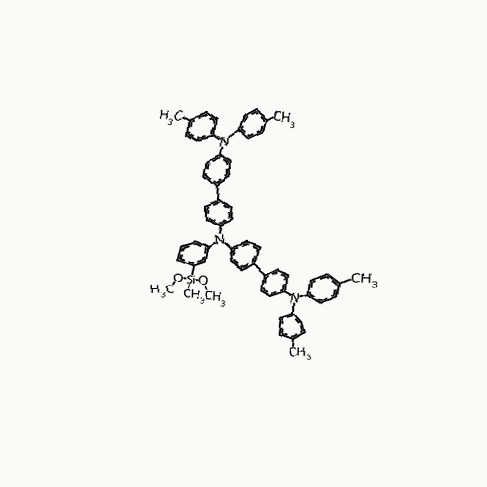 CO[Si](C)(OC)c1cccc(N(c2ccc(-c3ccc(N(c4ccc(C)cc4)c4ccc(C)cc4)cc3)cc2)c2ccc(-c3ccc(N(c4ccc(C)cc4)c4ccc(C)cc4)cc3)cc2)c1